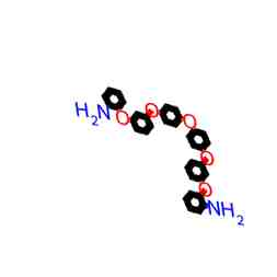 Nc1ccccc1Oc1cccc(Oc2ccc(Oc3ccc(Oc4cccc(Oc5ccccc5N)c4)cc3)cc2)c1